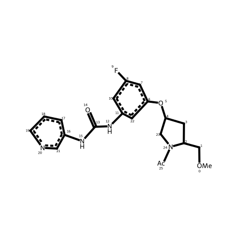 COCC1CC(Oc2cc(F)cc(NC(=O)Nc3cccnc3)c2)CN1C(C)=O